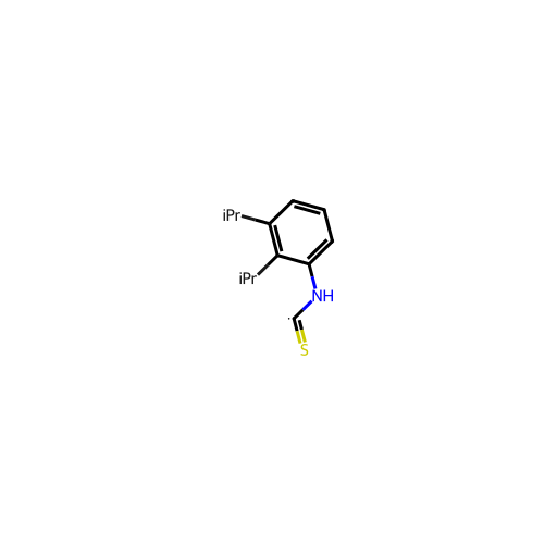 CC(C)c1cccc(N[C]=S)c1C(C)C